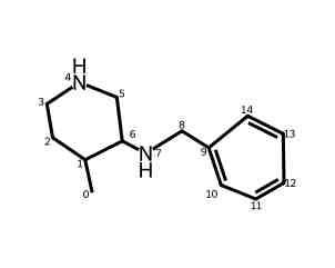 CC1CCNCC1NCc1ccccc1